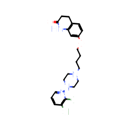 O=C1CCc2ccc(OCCCCN3CCN([n+]4cccc(Cl)c4Cl)CC3)cc2N1